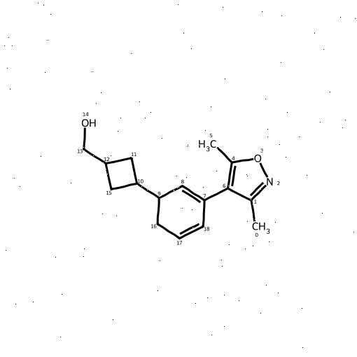 Cc1noc(C)c1C1=CC(C2CC(CO)C2)CC=C1